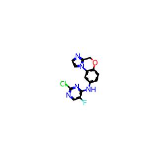 Fc1cnc(Cl)nc1Nc1ccc2c(c1)-n1ccnc1CO2